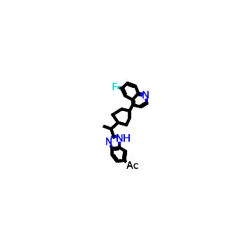 CC(=O)c1ccc2nc(C(C)C3CCC(c4ccnc5ccc(F)cc45)CC3)[nH]c2c1